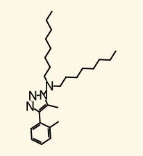 CCCCCCCCN(CCCCCCCC)n1nnc(-c2ccccc2C)c1C